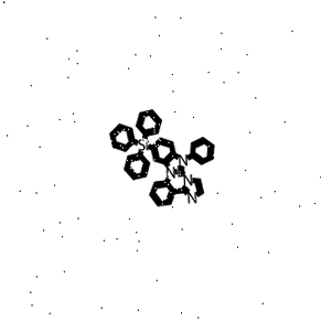 c1ccc(N2B3N(c4ccccc4-c4nccn43)c3cc([Si](c4ccccc4)(c4ccccc4)c4ccccc4)ccc32)cc1